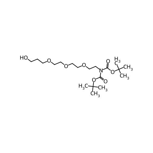 CC(C)(C)OC(=O)N(CCOCCOCCOCCCO)C(=O)OC(C)(C)C